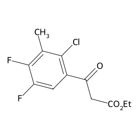 CCOC(=O)CC(=O)c1cc(F)c(F)c(C)c1Cl